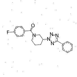 O=C(c1ccc(F)cc1)N1CCCC(n2nnc(-c3ccccc3)n2)C1